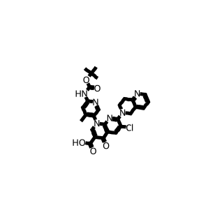 Cc1cc(NC(=O)OC(C)(C)C)ncc1-n1cc(C(=O)O)c(=O)c2cc(Cl)c(N3CCc4ncccc4C3)nc21